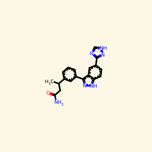 CC(CC(N)=O)c1cccc(-c2n[nH]c3ccc(-c4nc[nH]n4)cc23)c1